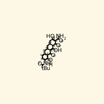 CC(C)(C)C(=O)Nc1ccc2c(c1O)C(=O)C1=C(O)C3C(=O)C(C(N)=O)=C(O)CC3CC1C2